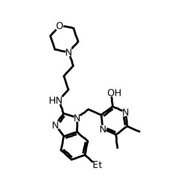 CCc1ccc2nc(NCCCN3CCOCC3)n(Cc3nc(C)c(C)nc3O)c2c1